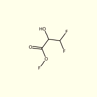 O=C(OF)C(O)C(F)F